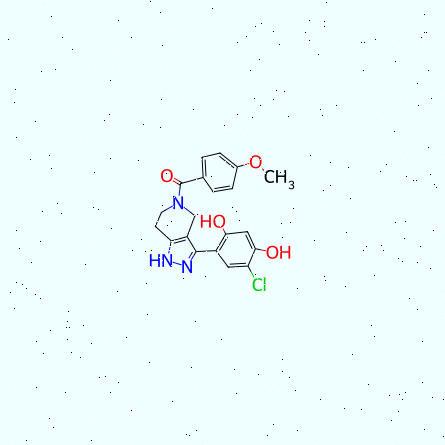 COc1ccc(C(=O)N2CCc3[nH]nc(-c4cc(Cl)c(O)cc4O)c3C2)cc1